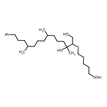 CCCCCCCCCCCCCCCSC(CO)C(C)(O)CCCC(C)CCCC(C)CCCC(C)C